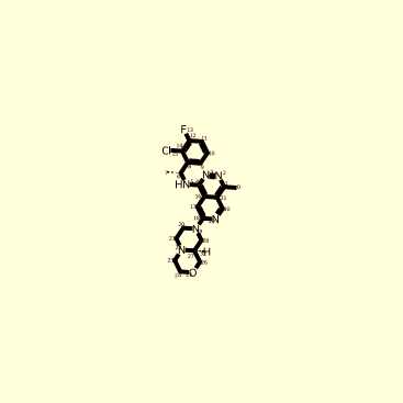 Cc1nnc(N[C@H](C)c2cccc(F)c2Cl)c2cc(N3CCN4CCOC[C@@H]4C3)ncc12